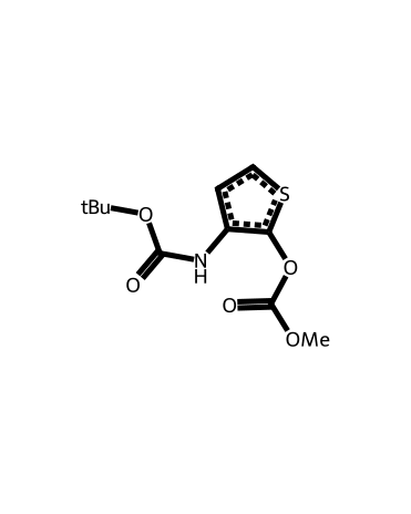 COC(=O)Oc1sccc1NC(=O)OC(C)(C)C